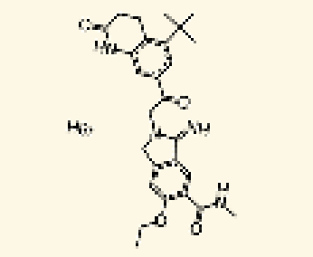 Br.CCOc1cc2c(cc1C(=O)NC)C(=N)N(CC(=O)c1cc3c(c(C(C)(C)C)c1)CCC(=O)N3)C2